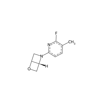 Cc1ccc(N2CC3OC[C@H]32)nc1F